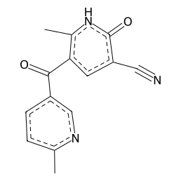 Cc1ccc(C(=O)c2cc(C#N)c(=O)[nH]c2C)cn1